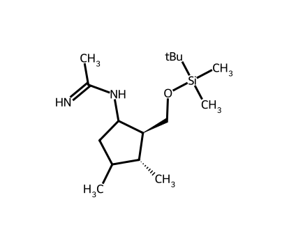 CC(=N)NC1CC(C)[C@@H](C)[C@@H]1CO[Si](C)(C)C(C)(C)C